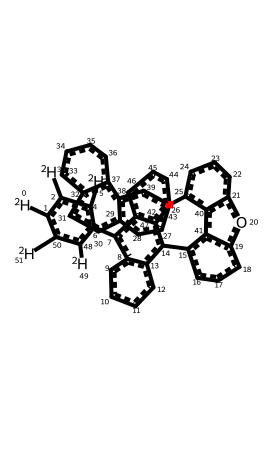 [2H]c1c([2H])c([2H])c(-c2c3ccccc3c(-c3cccc4oc5cccc(-c6ccc7ccc8ccccc8c7c6)c5c34)c3ccccc23)c([2H])c1[2H]